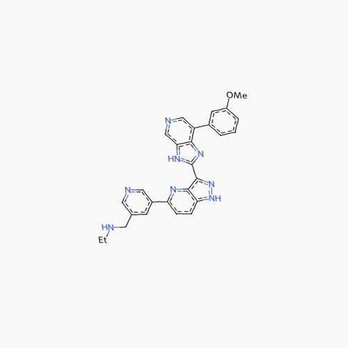 CCNCc1cncc(-c2ccc3[nH]nc(-c4nc5c(-c6cccc(OC)c6)cncc5[nH]4)c3n2)c1